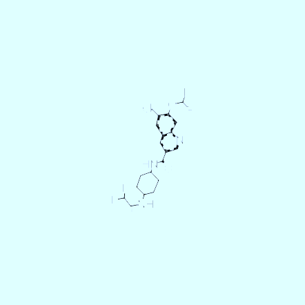 C[C@@H](NC1CCC(NC(=O)c2cnc3cc(OC(F)F)c(Cl)cc3c2)CC1)C(F)F